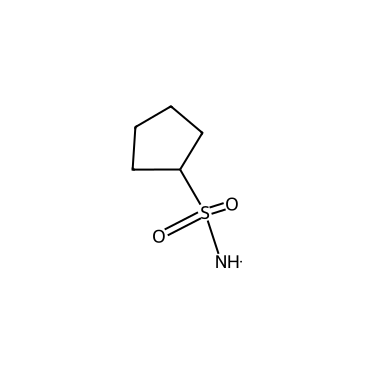 [NH]S(=O)(=O)C1CCCC1